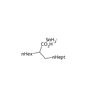 CCCCCCCCC(CCCCCC)C(=O)O.[SnH2]